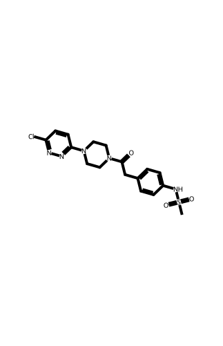 CS(=O)(=O)Nc1ccc(CC(=O)N2CCN(c3ccc(Cl)nn3)CC2)cc1